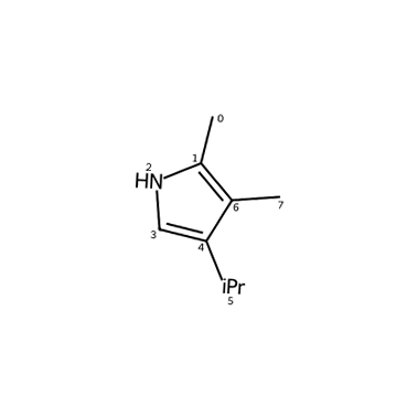 Cc1[nH]cc(C(C)C)c1C